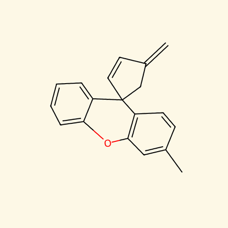 C=C1C=CC2(C1)c1ccccc1Oc1cc(C)ccc12